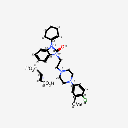 COc1cc(N2CCN(CCn3c(=O)n(C4=CCCCC4)c4ccccc43)CC2)ccc1Cl.O=C(O)/C=C/C(=O)O